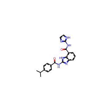 CC(C)c1ccc(C(=O)Nc2nc3cccc(C(=O)Nc4ncc[nH]4)c3[nH]2)cc1